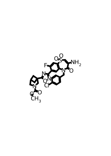 COC(=O)N1CC2CC(c3nc(-c4cc5c(cc4F)S(=O)(=O)C=C(N)C(=O)N5Cc4ccc(Cl)cc4)no3)(C2)C1